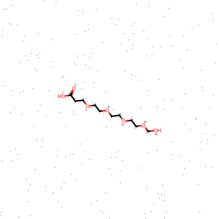 O=C(O)CCOCCOCCOCCOCO